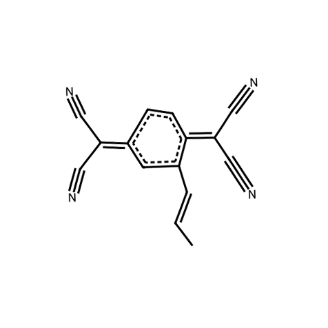 CC=Cc1cc(=C(C#N)C#N)ccc1=C(C#N)C#N